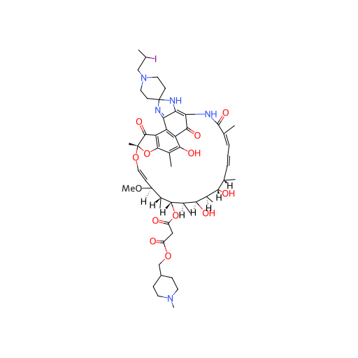 CO[C@H]1/C=C/O[C@@]2(C)Oc3c(C)c(O)c4c(c3C2=O)C2=NC3(CCN(CC(C)I)CC3)NC2=C(NC(=O)/C(C)=C\C=C\[C@H](C)[C@H](O)[C@@H](C)[C@@H](O)[C@@H](C)[C@H](OC(=O)CC(=O)OCC2CCN(C)CC2)[C@@H]1C)C4=O